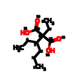 CCCC(CC)C(CC)(C(=O)O)C(=O)O